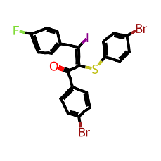 O=C(C(Sc1ccc(Br)cc1)=C(I)c1ccc(F)cc1)c1ccc(Br)cc1